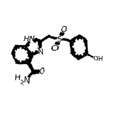 NC(=O)c1cccc2[nH]c(CS(=O)(=O)c3ccc(O)cc3)nc12